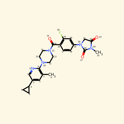 Cc1cc(C2CC2)cnc1N1CCN(C(=O)c2ccc(N3CC(=O)N(C)C3=O)cc2F)CC1